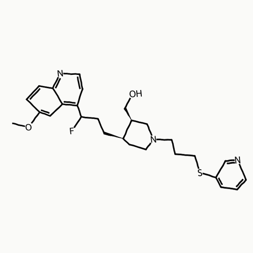 COc1ccc2nccc(C(F)CC[C@@H]3CCN(CCCSc4cccnc4)C[C@@H]3CO)c2c1